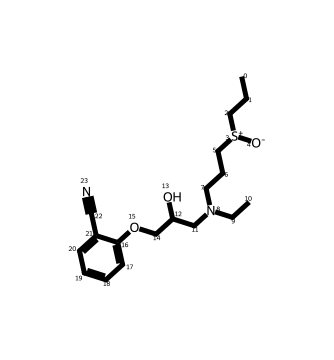 CCC[S+]([O-])CCCN(CC)CC(O)COc1ccccc1C#N